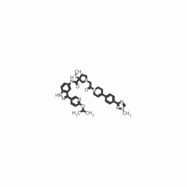 CSC1(C(=O)Nc2ccc3[nH]nc(-c4ccc(OC(C)C)nc4)c3c2)CCN(CC(=O)N2CC=C(c3ccc(-c4ncn(C)n4)cc3)CC2)C1